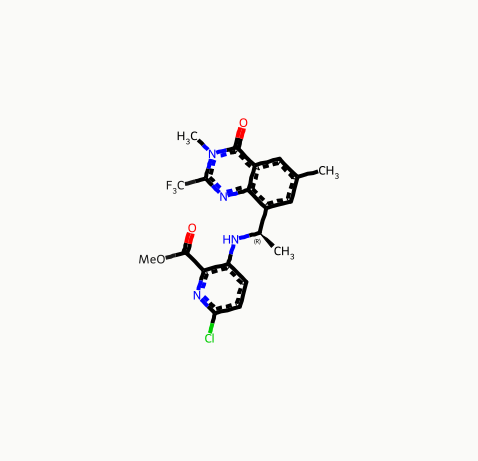 COC(=O)c1nc(Cl)ccc1N[C@H](C)c1cc(C)cc2c(=O)n(C)c(C(F)(F)F)nc12